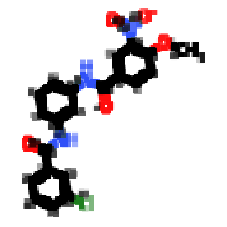 COc1ccc(C(=O)Nc2cccc(NC(=O)c3cccc(Cl)c3)c2)cc1[N+](=O)[O-]